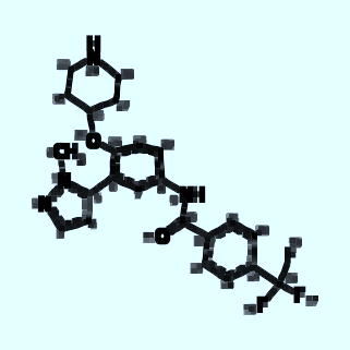 Cn1nccc1-c1cc(NC(=O)c2ccc(C(F)(F)F)cc2)ccc1OC1CCNCC1